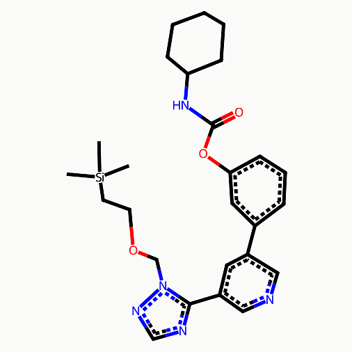 C[Si](C)(C)CCOCn1ncnc1-c1cncc(-c2cccc(OC(=O)NC3CCCCC3)c2)c1